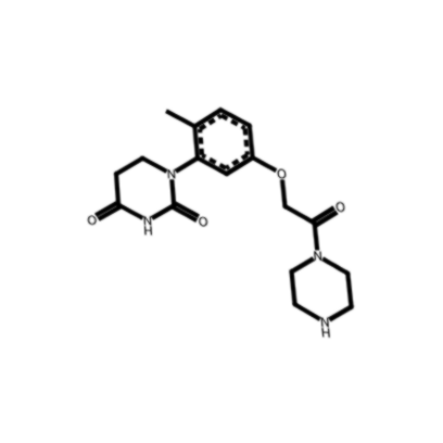 Cc1ccc(OCC(=O)N2CCNCC2)cc1N1CCC(=O)NC1=O